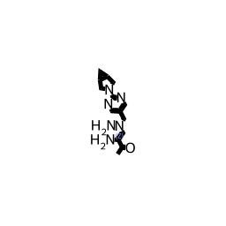 CC(=O)/C(N)=C/N(N)Cc1cnc(N2CC3CC3C2)nc1